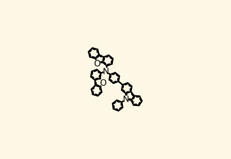 c1ccc(-n2c3ccccc3c3ccc(-c4ccc(N(c5cccc6c5oc5ccccc56)c5cccc6c5oc5ccccc56)cc4)cc32)cc1